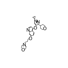 c1cc(Oc2cn(C3CC3)nc2C2CCOCC2)c2ccc(OCCCN3CCOCC3)cc2n1